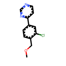 COCc1ccc(-c2ccncn2)cc1Cl